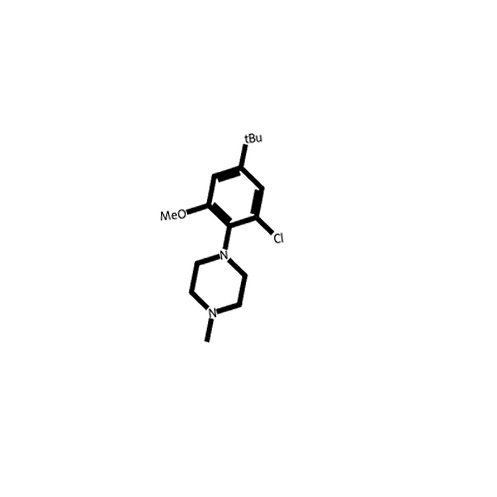 COc1cc(C(C)(C)C)cc(Cl)c1N1CCN(C)CC1